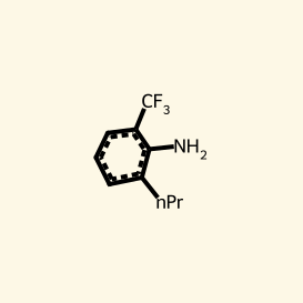 CCCc1cccc(C(F)(F)F)c1N